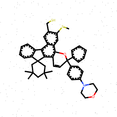 CSc1cc2c3c(c4c(c2cc1CS)-c1ccccc1C41CC(C)(C)CC(C)(C)C1)C=CC(c1ccccc1)(c1ccc(N2CCOCC2)cc1)O3